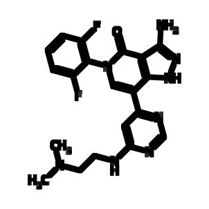 CN(C)CCNc1cc(-c2cn(-c3c(F)cccc3F)c(=O)c3c(N)n[nH]c23)ncn1